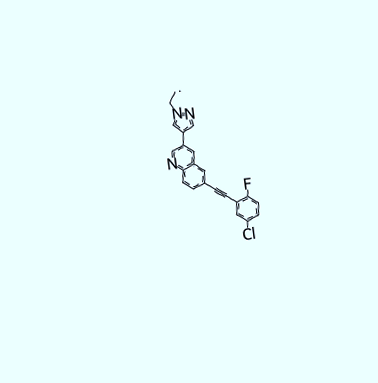 [CH2]Cn1cc(-c2cnc3ccc(C#Cc4cc(Cl)ccc4F)cc3c2)cn1